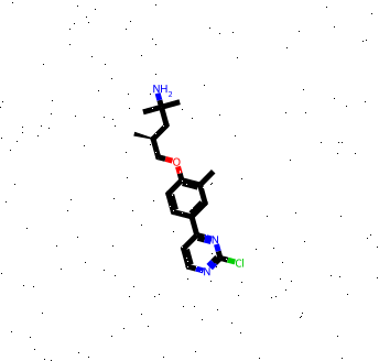 Cc1cc(-c2ccnc(Cl)n2)ccc1OC[C@@H](C)CC(C)(C)N